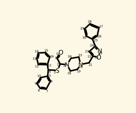 O=CC(SC(c1ccccc1)c1ccccc1)N1CCN(Cc2cc(-c3ccccc3)no2)CC1